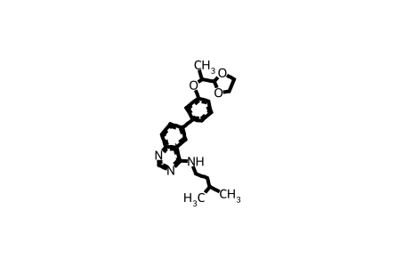 CC(C)CCNc1ncnc2ccc(-c3cccc(OC(C)C4OCCO4)c3)cc12